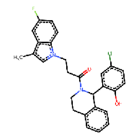 Cc1cn(CCC(=O)N2CCc3ccccc3C2c2cc(Cl)ccc2O)c2ccc(F)cc12